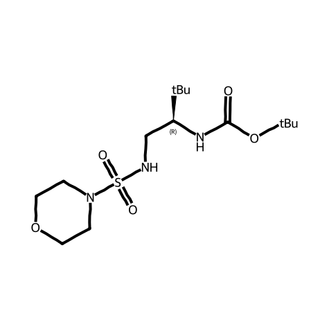 CC(C)(C)OC(=O)N[C@@H](CNS(=O)(=O)N1CCOCC1)C(C)(C)C